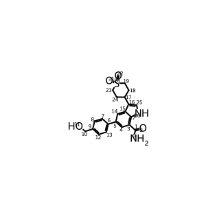 NC(=O)c1cc(-c2ccc(CO)cc2)cc2c(C3CCS(=O)(=O)CC3)c[nH]c12